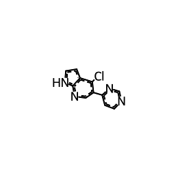 Clc1c(-c2ccncn2)cnc2[nH]ccc12